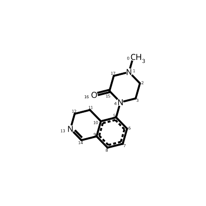 CN1CCN(c2cccc3c2CCN=C3)C(=O)C1